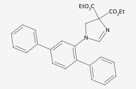 CCOC(=O)C1(C(=O)OCC)CN(c2cc(-c3ccccc3)ccc2-c2ccccc2)C=N1